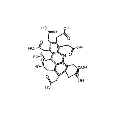 O=C(O)Cc1c(CC(=O)O)c(CC(=O)O)c2c(CC(=O)O)c3c(CC(=O)O)c(CC(=O)O)c(CC(=O)O)c(CC(=O)O)c3nc2c1CC(=O)O